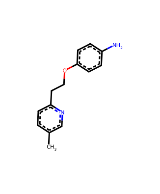 Cc1ccc(CCOc2ccc(N)cc2)nc1